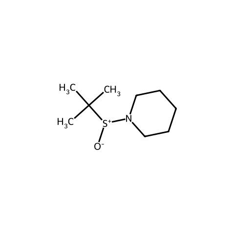 CC(C)(C)[S+]([O-])N1CCCCC1